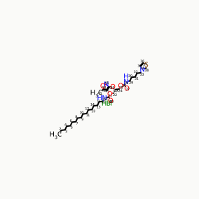 Br.CCCCCCCCCCCCCCCCCNC(=O)OC[C@@H](COC(=O)NCCCCCN1C=CSC1)Oc1cc(C)on1